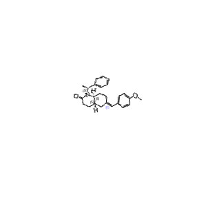 COc1ccc(/C=C2\CC[C@H]3[C@@H](CCC(=O)N3[C@@H](C)c3ccccc3)C2)cc1